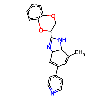 CC1=CC(c2ccncc2)=CC2N=C(C3COc4ccccc4O3)NC12